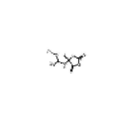 C=C1OC(=O)OC1(C)BC(O)OO